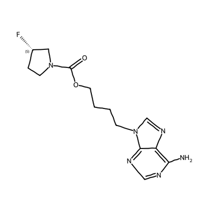 Nc1ncnc2c1ncn2CCCCOC(=O)N1CC[C@H](F)C1